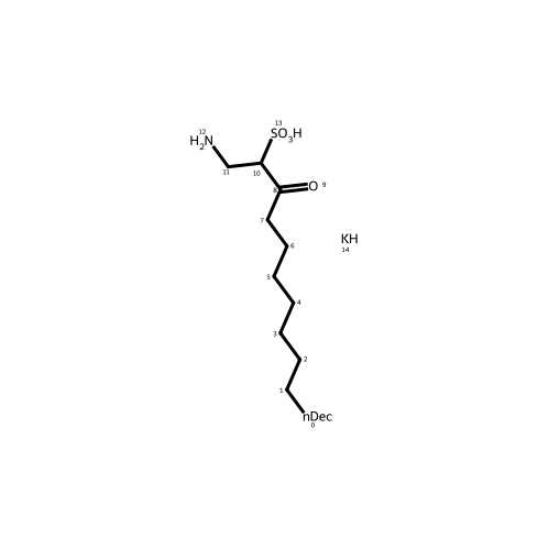 CCCCCCCCCCCCCCCCCC(=O)C(CN)S(=O)(=O)O.[KH]